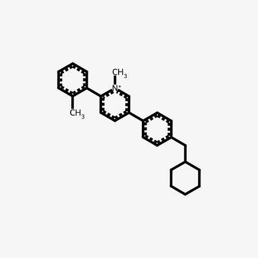 Cc1ccccc1-c1ccc(-c2ccc(CC3CCCCC3)cc2)c[n+]1C